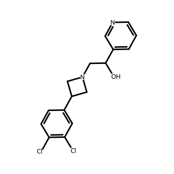 OC(CN1CC(c2ccc(Cl)c(Cl)c2)C1)c1cccnc1